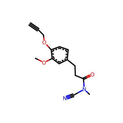 C#CCOc1ccc(CCC(=O)N(C)C#N)cc1OC